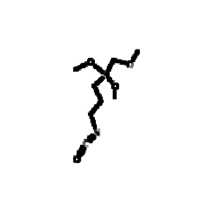 COC[Si](CCCN=C=O)(OC)OC